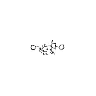 CN(c1nc(-c2ccncc2)cc(=O)n1C)[C@H]1CC[C@H]2N(Cc3ccccc3)CC[C@@]2(C)C1